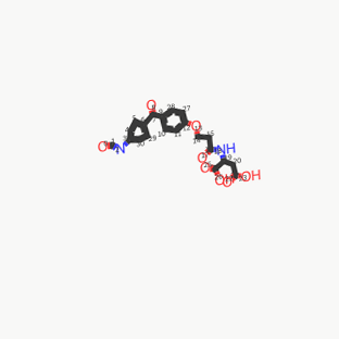 O=C=Nc1ccc(C(=O)c2ccc(OCCC(=O)NC(CC(=O)O)C(=O)O)cc2)cc1